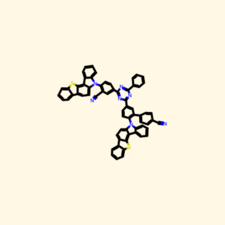 N#Cc1ccc(-c2cc(-c3nc(-c4ccccc4)nc(-c4ccc(-n5c6ccccc6c6c7sc8ccccc8c7ccc65)c(C#N)c4)n3)ccc2-n2c3ccccc3c3c4sc5ccccc5c4ccc32)cc1